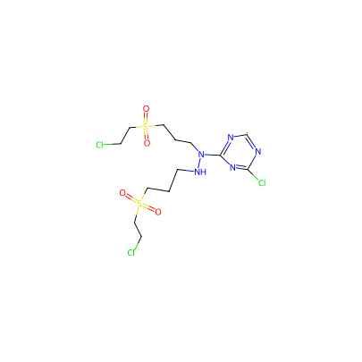 O=S(=O)(CCCl)CCCNN(CCCS(=O)(=O)CCCl)c1n[c]nc(Cl)n1